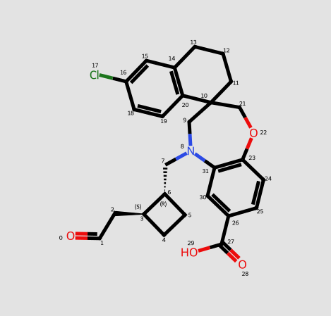 O=CC[C@@H]1CC[C@H]1CN1CC2(CCCc3cc(Cl)ccc32)COc2ccc(C(=O)O)cc21